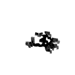 CCN(C)[C@H](C)CC[C@H](C)[C@H](C)C1C[C@]12CCC(C)[C@H]2CCCNN